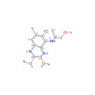 COCC(=S)Nc1c(Cl)c(C)cc2nc(OC)c(OC)nc12